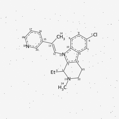 CCC1c2c(c3cc(Cl)ccc3n2/C=C(\C)c2cccnc2)CCN1C